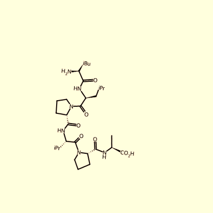 CC[C@H](C)[C@H](N)C(=O)N[C@@H](CC(C)C)C(=O)N1CCC[C@H]1C(=O)N[C@H](C(=O)N1CCC[C@H]1C(=O)N[C@@H](C)C(=O)O)C(C)C